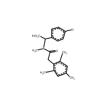 CCOC(=O)C(c1ccc(Cl)cc1)N(C)C(=O)Cc1c(C)cc(C)cc1C